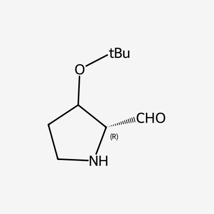 CC(C)(C)OC1CCN[C@H]1C=O